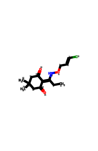 CCC(NOCC=CCl)=C1C(=O)CC(C)(C)CC1=O